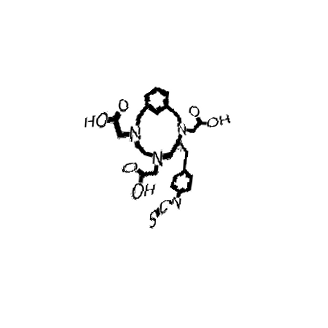 O=C(O)CN1CCN(CC(=O)O)C[C@H](Cc2ccc(N=C=S)cc2)N(CC(=O)O)Cc2cccc(c2)C1